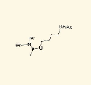 CC(=O)NCCCCOP(C)N(C(C)C)C(C)C